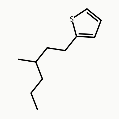 CCCC(C)CCc1cccs1